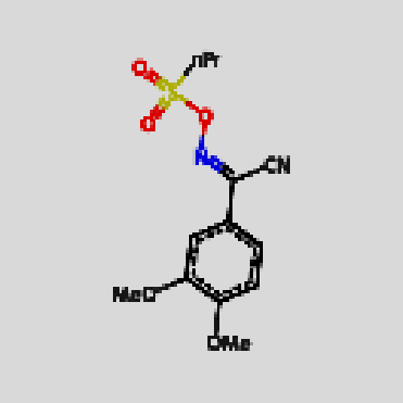 CCCS(=O)(=O)ON=C(C#N)c1ccc(OC)c(OC)c1